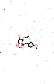 C=CC[C@H]1C[C@]2([C@@H](C)Cc3ccc(OC)cc3F)OCOC2=CC1=O